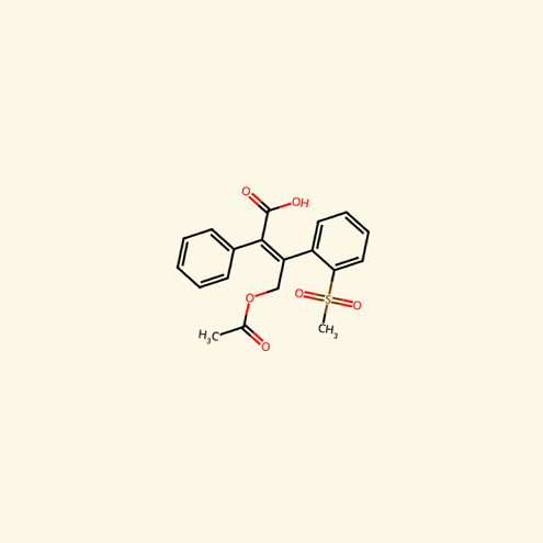 CC(=O)OCC(=C(C(=O)O)c1ccccc1)c1ccccc1S(C)(=O)=O